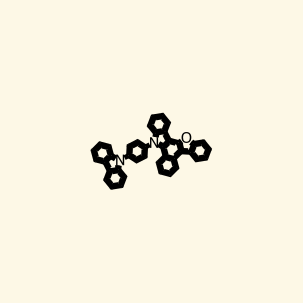 c1ccc2c(c1)oc1c2c2ccccc2c2c1c1ccccc1n2-c1ccc(-n2c3ccccc3c3ccccc32)cc1